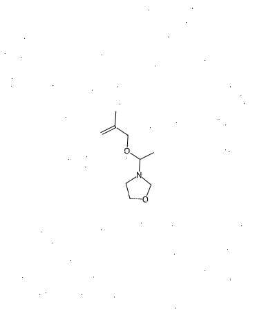 C=C(C)COC(C)N1CCOC1